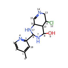 Cc1ccnc(C2NC(O)C3C(Cl)CN=CC3N2)c1